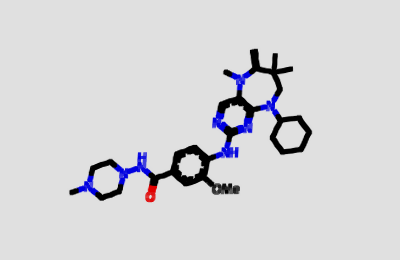 C=C1N(C)c2cnc(Nc3ccc(C(=O)NN4CCN(C)CC4)cc3OC)nc2N(C2CCCCC2)CC1(C)C